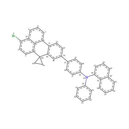 Brc1ccc2c3c(cccc13)-c1ccc(-c3ccc(N(c4ccccc4)c4cccc5ccccc45)cc3)cc1C21CC1